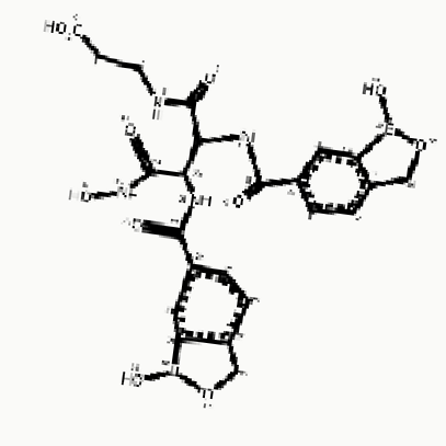 O=C(O)CCNC(=O)C(NC(=O)c1ccc2c(c1)B(O)OC2)C(NC(=O)c1ccc2c(c1)B(O)OC2)C(=O)NO